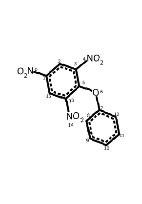 O=[N+]([O-])c1cc([N+](=O)[O-])c(Oc2ccccc2)c([N+](=O)[O-])c1